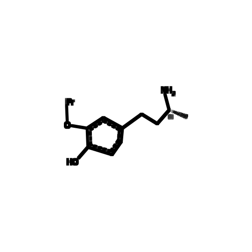 CC(C)Oc1cc(CC[C@@H](C)N)ccc1O